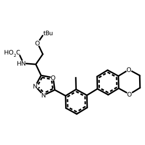 Cc1c(-c2ccc3c(c2)OCCO3)cccc1-c1nnc(C(COC(C)(C)C)NC(=O)O)o1